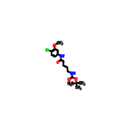 COc1cc(NC(=O)C=CCCNC(=O)OC(C)(C)C)ccc1Cl